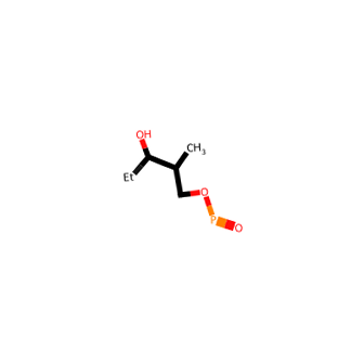 CCC(O)C(C)COP=O